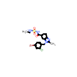 CCNS(=O)(=O)NC(=O)c1ccc2nc(C)n(Cc3ccc(Br)cc3Cl)c2c1